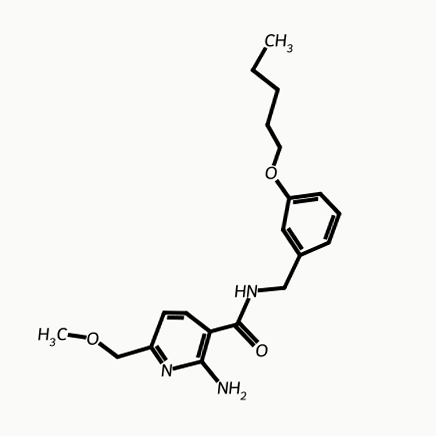 CCCCCOc1cccc(CNC(=O)c2ccc(COC)nc2N)c1